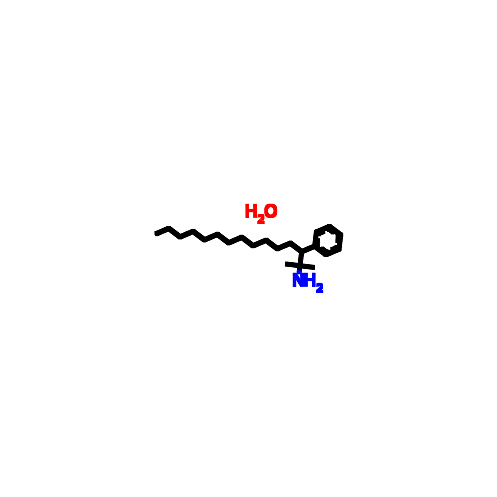 CCCCCCCCCCCCC(c1ccccc1)C(C)(C)N.O